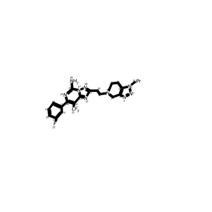 CC(C)n1nnc2c1CCN(CCc1nc3c(C(F)(F)F)c(-c4cccc(F)c4)nc(N)n3n1)C2